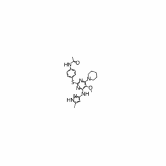 COc1c(Nc2cc(C)[nH]n2)nc(Sc2ccc(NC(C)=O)cc2)nc1N1CCCCC1